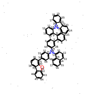 c1cc(-c2ccccc2-c2ccccc2-n2c3ccccc3c3ccccc32)cc(N(c2ccc(-c3cccc4c3oc3ccccc34)cc2)c2cccc3ccccc23)c1